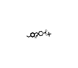 CCc1ccc(CC2(C#N)CCN(C(=O)OC(C)(C)C)CC2)cc1